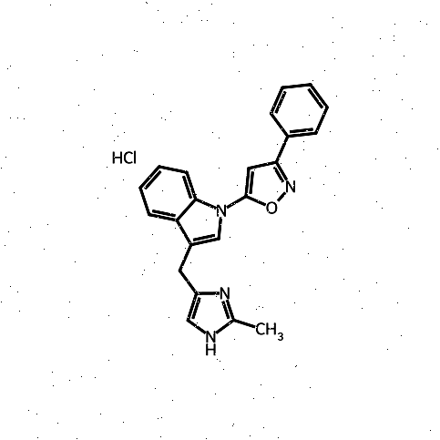 Cc1nc(Cc2cn(-c3cc(-c4ccccc4)no3)c3ccccc23)c[nH]1.Cl